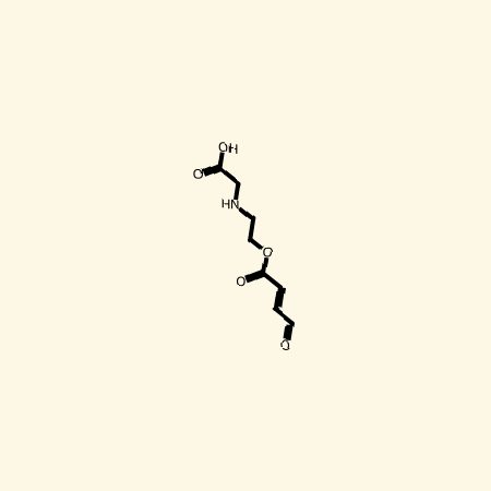 O=C/C=C/C(=O)OCCNCC(=O)O